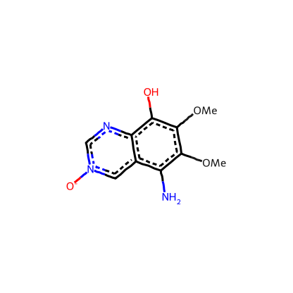 COc1c(OC)c(O)c2nc[n+]([O-])cc2c1N